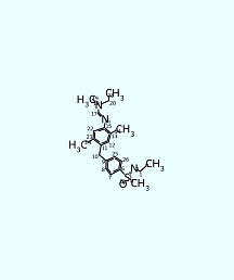 CCN=S(C)(=O)c1ccc(Cc2cc(C)c(N=CN(C)CC)cc2C)cc1